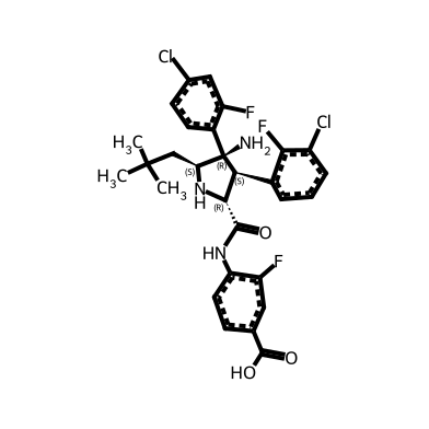 CC(C)(C)C[C@@H]1N[C@@H](C(=O)Nc2ccc(C(=O)O)cc2F)[C@H](c2cccc(Cl)c2F)[C@@]1(N)c1ccc(Cl)cc1F